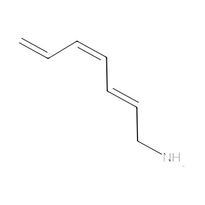 C=C/C=C\C=C\CN